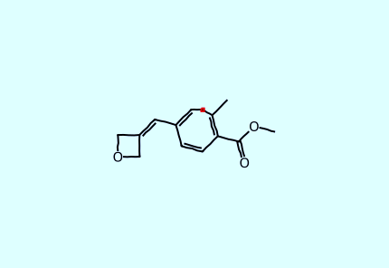 C/C=C(C=C1COC1)\C=C/C(C(=O)OC)=C(C)C